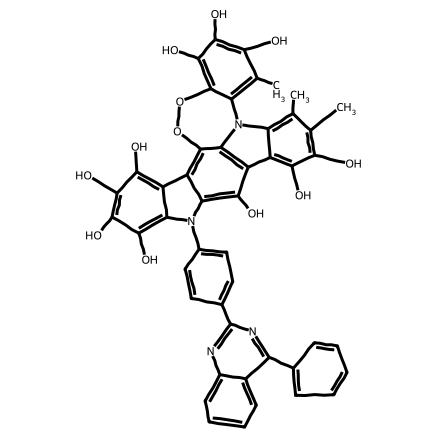 Cc1c(O)c(O)c2c3c(O)c4c(c5ooc6c(O)c(O)c(O)c(C)c6n(c2c1C)c53)c1c(O)c(O)c(O)c(O)c1n4-c1ccc(-c2nc(-c3ccccc3)c3ccccc3n2)cc1